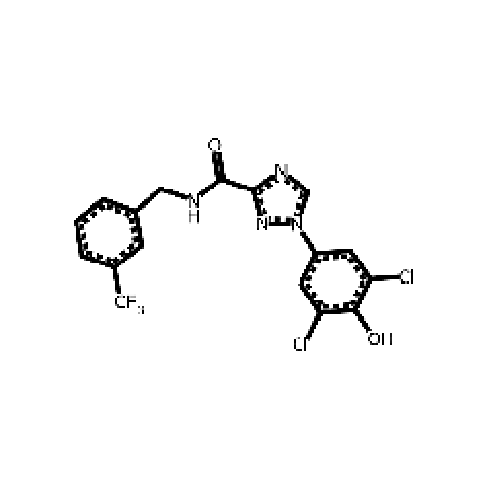 O=C(NCc1cccc(C(F)(F)F)c1)c1ncn(-c2cc(Cl)c(O)c(Cl)c2)n1